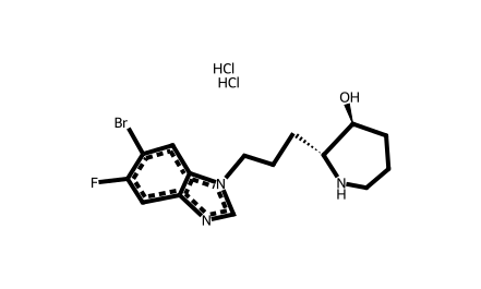 Cl.Cl.O[C@H]1CCCN[C@@H]1CCCn1cnc2cc(F)c(Br)cc21